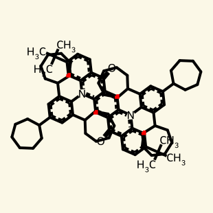 CC(C)(C)c1ccc2c(=O)c3cc4c(cc3n(-c3c(C5CCCCCC5)cc(C5CCCCCC5)cc3C3CCCCCC3)c2c1)c(=O)c1ccc(C(C)(C)C)cc1n4-c1c(C2CCCCCC2)cc(C2CCCCCC2)cc1C1CCCCCC1